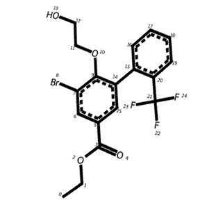 CCOC(=O)c1cc(Br)c(OCCO)c(-c2ccccc2C(F)(F)F)c1